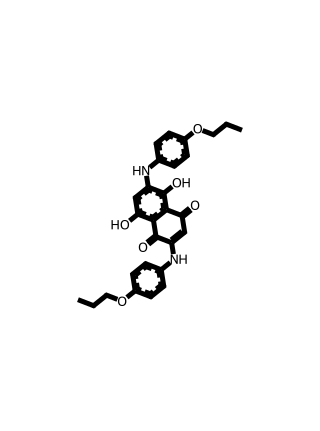 CCCOc1ccc(NC2=CC(=O)c3c(O)c(Nc4ccc(OCCC)cc4)cc(O)c3C2=O)cc1